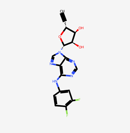 C#C[C@H]1O[C@@H](n2cnc3c(Nc4ccc(F)c(F)c4)ncnc32)[C@H](O)[C@@H]1O